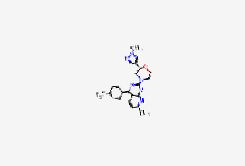 Cc1ccc2c(C3CCC(C(F)(F)F)CC3)nc(N3CCOC(c4cnn(C)c4)C3)nc2n1